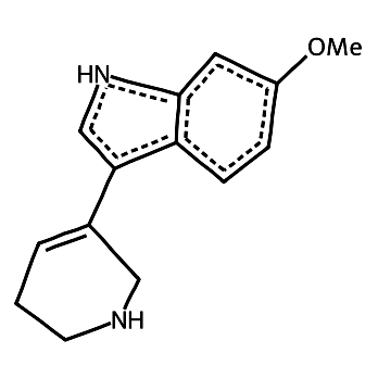 COc1ccc2c(C3=CCCNC3)c[nH]c2c1